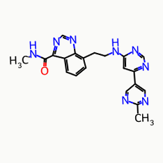 CNC(=O)c1ncnc2c(CCNc3cc(-c4cnc(C)nc4)ncn3)cccc12